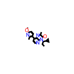 CCC(C1CC1)n1c(=O)c(C)nc2c(-c3ccc(OC)nc3C)ccnc21